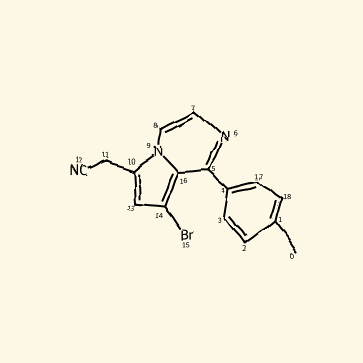 Cc1ccc(-c2nccn3c(CC#N)cc(Br)c23)cc1